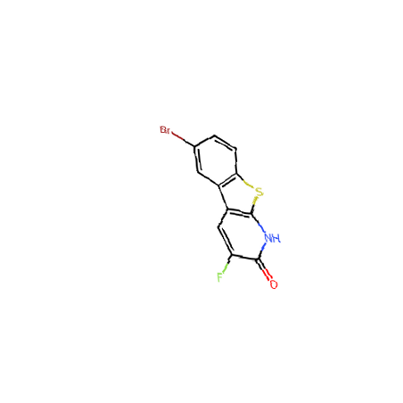 O=c1[nH]c2sc3ccc(Br)cc3c2cc1F